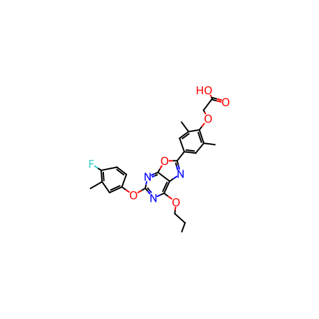 CCCOc1nc(Oc2ccc(F)c(C)c2)nc2oc(-c3cc(C)c(OCC(=O)O)c(C)c3)nc12